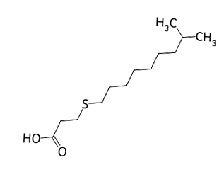 CC(C)CCCCCCCSCCC(=O)O